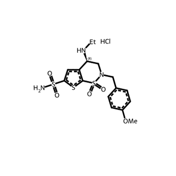 CCN[C@H]1CN(Cc2ccc(OC)cc2)S(=O)(=O)c2sc(S(N)(=O)=O)cc21.Cl